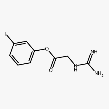 N=C(N)NCC(=O)Oc1cccc(I)c1